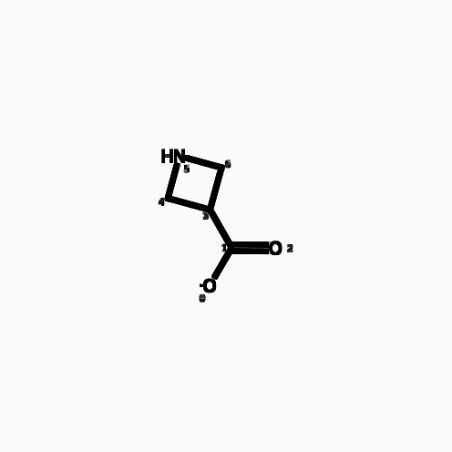 [O]C(=O)C1CNC1